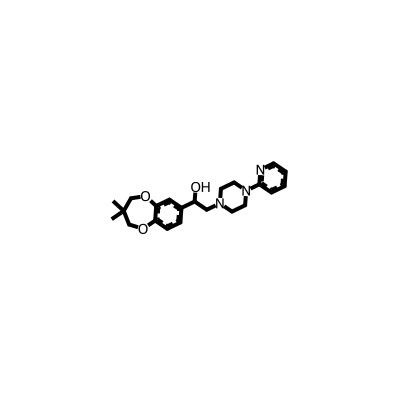 CC1(C)COc2ccc(C(O)CN3CCN(c4ccccn4)CC3)cc2OC1